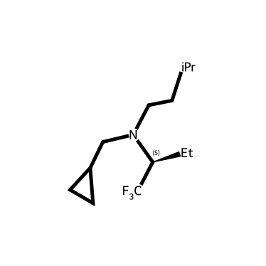 CC[C@H](N(CCC(C)C)CC1CC1)C(F)(F)F